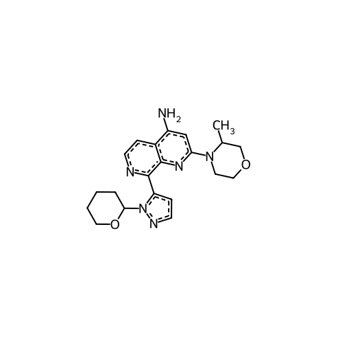 CC1COCCN1c1cc(N)c2ccnc(-c3ccnn3C3CCCCO3)c2n1